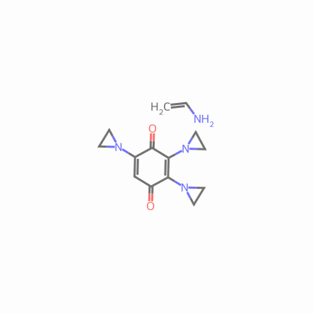 C=CN.O=C1C=C(N2CC2)C(=O)C(N2CC2)=C1N1CC1